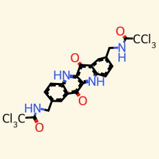 O=C(NCc1ccc2[nH]c3c(=O)c4cc(CNC(=O)C(Cl)(Cl)Cl)ccc4[nH]c3c(=O)c2c1)C(Cl)(Cl)Cl